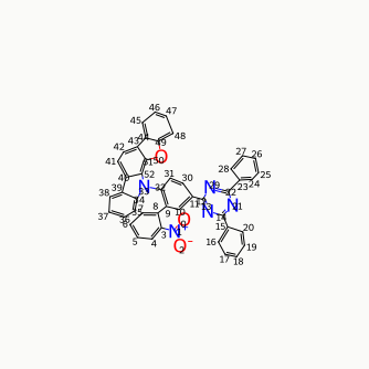 O=[N+]([O-])c1ccccc1-c1cc(-c2nc(-c3ccccc3)nc(-c3ccccc3)n2)ccc1-n1c2ccccc2c2ccc3c4ccccc4oc3c21